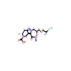 C[C@@H]1Cc2nn3c(c2CN1C(=O)O)C(=O)N(C)OC(COCC(F)F)C3